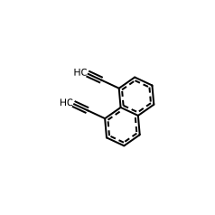 C#Cc1cccc2cccc(C#C)c12